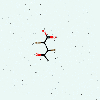 CC(=O)C(Br)C(Br)C(=O)O